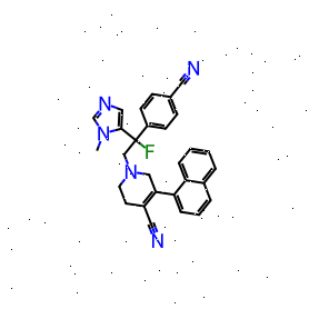 Cn1cncc1C(F)(CN1CCC(C#N)=C(c2cccc3ccccc23)C1)c1ccc(C#N)cc1